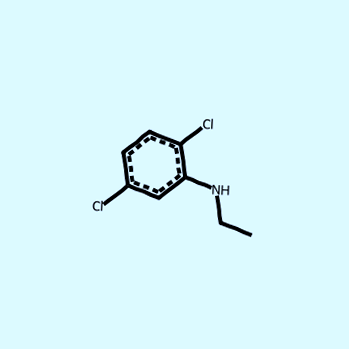 CCNc1cc(Cl)ccc1Cl